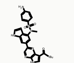 CN(c1cc(-c2cnc3[nH]cc(C(=O)C(C)(C)C)c3n2)cc2[nH]ccc12)S(=O)(=O)c1ccc(N)cc1